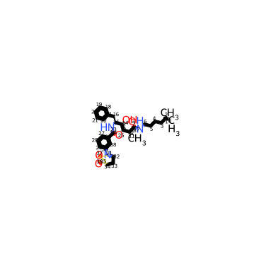 CC(C)CCCCNC(=O)[C@H](C)C[C@H](O)[C@H](Cc1ccccc1)NC(=O)c1cccc(N2CCCS2(=O)=O)c1